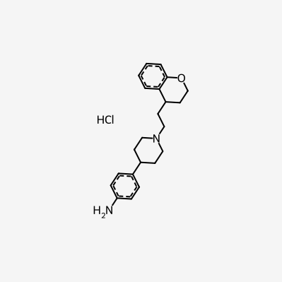 Cl.Nc1ccc(C2CCN(CCC3CCOc4ccccc43)CC2)cc1